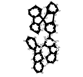 c1ccc2c(c1)-c1ccccc1C21c2ccccc2-c2ccc(-c3nc(-n4c5ccccc5c5cc6ccccc6cc54)c4c(n3)oc3ccccc34)cc21